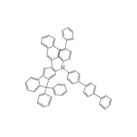 c1ccc(-c2ccc(-c3ccc(N(c4ccc(-c5ccccc5)cc4)c4cc5c(cc4-c4ccc6ccccc6c4)-c4ccccc4C5(c4ccccc4)c4ccccc4)cc3)cc2)cc1